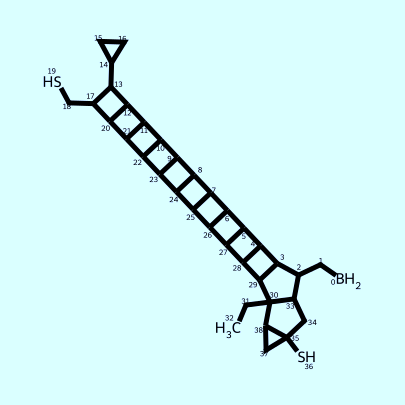 BCC1C2C3C4C5C6C7C8C9C%10C%11C(C%12CC%12)C(CS)C%11C%10C9C8C7C6C5C4C3C2C2(CC)C1CC1(S)CC12